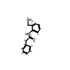 NCc1ccccc1NC(=O)Cc1ccccc1